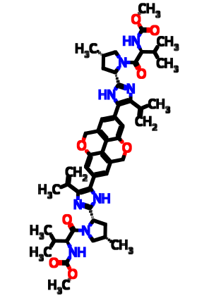 C=C(C)c1nc([C@@H]2C[C@H](C)CN2C(=O)[C@@H](NC(=O)OC)C(C)C)[nH]c1-c1cc2c3c(c1)OCc1cc(-c4[nH]c([C@@H]5C[C@H](C)CN5C(=O)[C@@H](NC(=O)OC)C(C)C)nc4C(=C)C)cc(c1-3)OC2